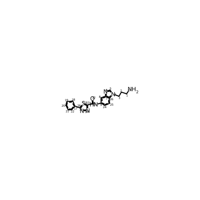 NCCCn1cnc2cc(NC(=O)c3nnc(-c4ccccc4)s3)ccc21